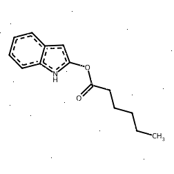 CCCCCC(=O)Oc1cc2ccccc2[nH]1